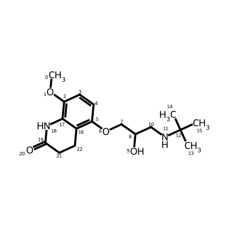 COc1ccc(OCC(O)CNC(C)(C)C)c2c1NC(=O)CC2